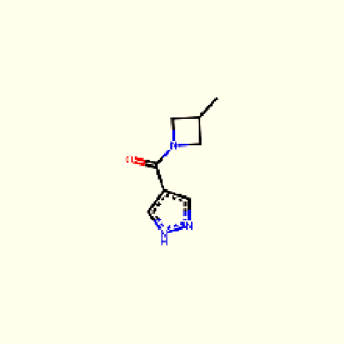 CC1CN(C(=O)c2cn[nH]c2)C1